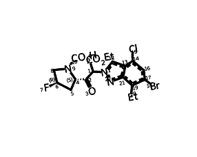 CCOC(=O)C(C(=O)[C@@H]1C[C@@H](F)CN1C(=O)O)n1cc2c(Cl)cc(Br)c(CC)c2n1